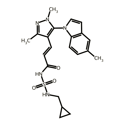 Cc1ccc2c(ccn2-c2c(C=CC(=O)NS(=O)(=O)NCC3CC3)c(C)nn2C)c1